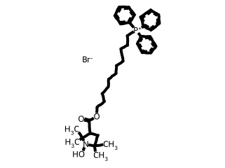 CC1(C)CC(C(=O)OCCCCCCCCCCC[P+](c2ccccc2)(c2ccccc2)c2ccccc2)C(C)(C)N1O.[Br-]